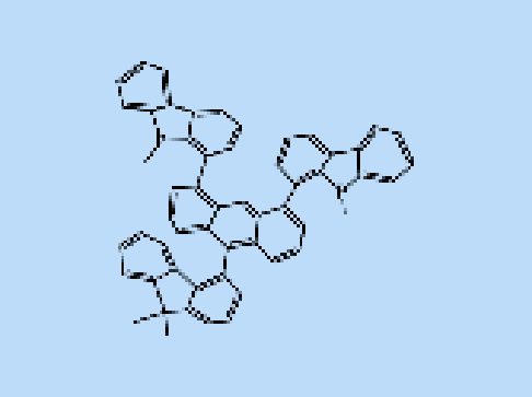 Cp1c2ccccc2c2cccc(-c3cccc4c(-c5cccc6c5-c5ccccc5C6(C)C)c5cccc(-c6cccc7c8ccccc8p(C)c67)c5cc34)c21